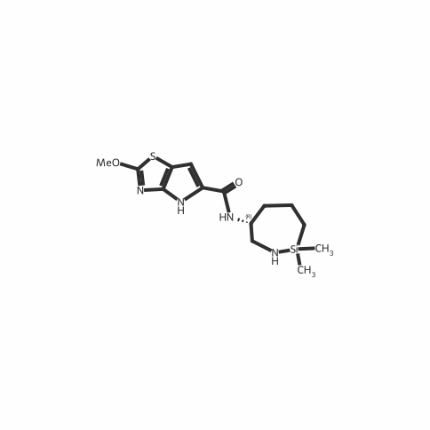 COc1nc2[nH]c(C(=O)N[C@@H]3CCC[Si](C)(C)NC3)cc2s1